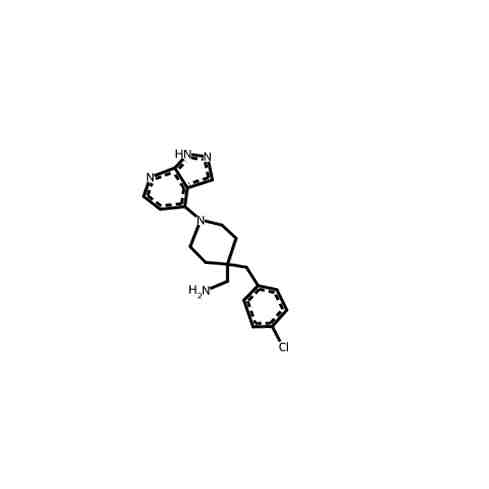 NCC1(Cc2ccc(Cl)cc2)CCN(c2ccnc3[nH]ncc23)CC1